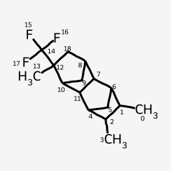 CC1C(C)C2CC1C1C3CC(C21)C(C)(C(F)(F)F)C3